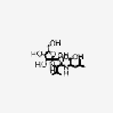 CC(C)CC(NC(=O)C(NC1(CO)O[C@H](CO)[C@@H](O)[C@@H]1O)C(C)C)C(=O)O